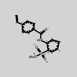 C=Cc1ccc(C(=O)Nc2ccccc2S(=O)(=O)OC)cc1